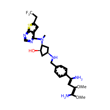 CO/C(N)=C(/C=C(\N)c1ccc(CN[C@H]2C[C@@H](O)[C@@H](N(C)c3ncnc4sc(CC(F)(F)F)cc34)C2)cc1)OC